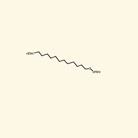 CCCCCCCCCCCCCCCCCCCCCCSCCCCCC